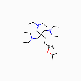 CCN(CC)CC(CC[SiH2]OC(C)C)(CN(CC)CC)CN(CC)CC